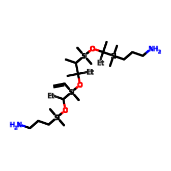 C=C[Si](C)(OC(C)(CC)C(C)[Si](C)(C)OC(C)(CC)[Si](C)(C)CCCN)C(CC)O[Si](C)(C)CCCN